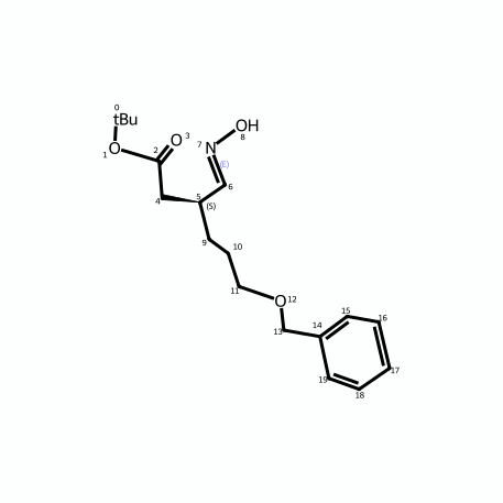 CC(C)(C)OC(=O)C[C@@H](/C=N/O)CCCOCc1ccccc1